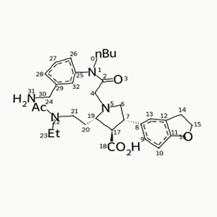 CCCCN(C(=O)CN1C[C@H](c2ccc3c(c2)CCO3)[C@@H](C(=O)O)[C@@H]1CCN(CC)C(C)=O)c1cccc(CN)c1